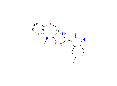 CC1CCC2=C(C1)C(C(=O)N[C@H]1COc3ccccc3N(C)C1=O)NN2